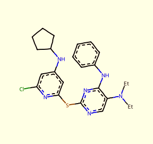 CCN(CC)c1cnc(Sc2cc(NC3CCCC3)cc(Cl)n2)nc1Nc1ccccc1